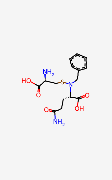 NC(=O)CC[C@@H](C(=O)O)N(Cc1ccccc1)SC[C@H](N)C(=O)O